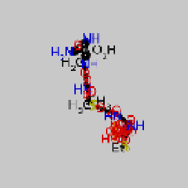 C=C(NCCOCCOCCNC(=O)OCCC(C)(C)SSCOCCCCOC(=O)NCC#Cc1cn([C@H]2CC(OCS(=S)CC)[C@@H](OP(=O)(O)OP(=O)(O)OP(=O)(O)O)O2)c(=O)[nH]c1=O)c1ccc(C(=O)O)c(-c2c3ccc(=N)cc-3oc3cc(N)ccc23)c1